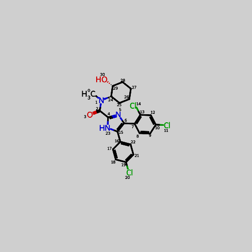 CN(C(=O)c1nc(-c2ccc(Cl)cc2Cl)c(-c2ccc(Cl)cc2)[nH]1)[C@@H]1CCCC[C@H]1O